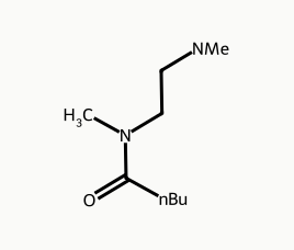 CCCCC(=O)N(C)CCNC